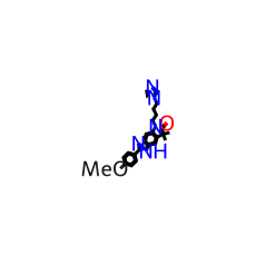 COc1ccc(-c2nc3cc4c(cc3[nH]2)C(C)(C)C(=O)N4CCCCn2ccnc2)cc1